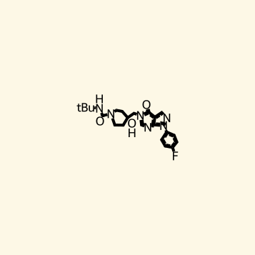 CC(C)(C)NC(=O)N1CCC(O)(Cn2cnc3c(cnn3-c3ccc(F)cc3)c2=O)CC1